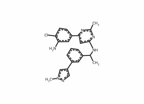 Cc1nc(NC(C)c2cccc(-c3cnn(C)c3)c2)cc(-c2ccc(Cl)c(N)c2)n1